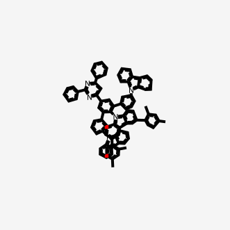 Cc1ccc(-c2ccc3c(c2)c2cc(-c4ccc(C)cc4C)ccc2n3-c2c(-c3cccc(-n4c5ccccc5c5ccccc54)c3)cc(-c3cc(-c4ccccc4)nc(-c4ccccc4)n3)cc2-c2cccc(-n3c4ccccc4c4ccccc43)c2)c(C)c1